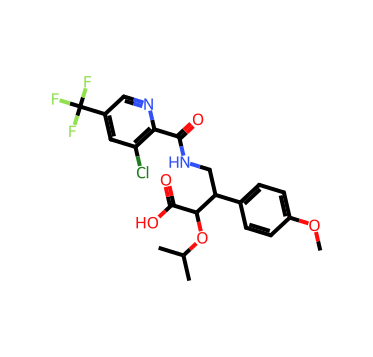 COc1ccc(C(CNC(=O)c2ncc(C(F)(F)F)cc2Cl)C(OC(C)C)C(=O)O)cc1